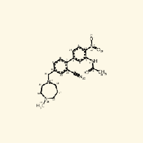 CC(=O)Nc1cc(-c2ccc(CN3CCCN(C)CC3)cc2C#N)ccc1[N+](=O)[O-]